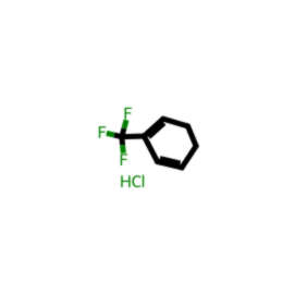 Cl.FC(F)(F)C1=CCCC=C1